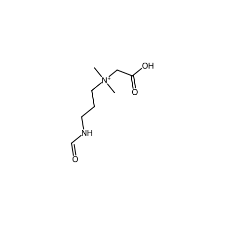 C[N+](C)(CCCNC=O)CC(=O)O